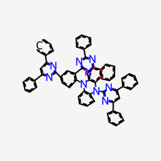 c1ccc(-c2cc(-c3ccccc3)nc(-c3ccc(N4c5ccccc5N(c5nc(-c6ccccc6)cc(-c6ccccc6)n5)c5ccccc54)c(-c4nc(-c5ccccc5)nc(-c5ccccc5)n4)c3)n2)cc1